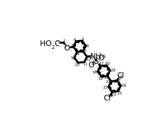 O=C(O)COc1cccc2c1CCCC2NS(=O)(=O)c1ccc(-c2cc(Cl)ccc2Cl)cc1